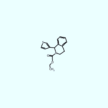 CCOC(=O)N1CCc2ccccc2C1c1ccsc1